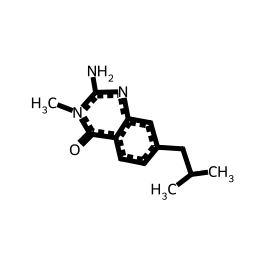 CC(C)Cc1ccc2c(=O)n(C)c(N)nc2c1